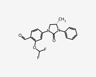 C[C@H]1CN(c2ccc(C=O)c(OC(F)F)c2)C(=O)N1c1ccccc1